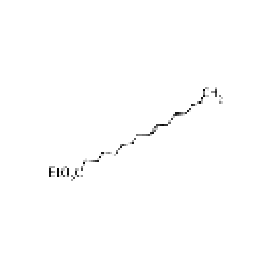 C=CC/C=C/C/C=C/CCCCCCCC(=O)OCC